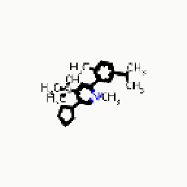 Cc1ccc(C(C)C)cc1-c1cc([Si](C)(C)C)c(C2CCCC2)c[n+]1C